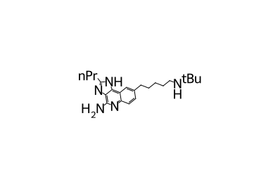 CCCc1nc2c(N)nc3ccc(CCCCCNC(C)(C)C)cc3c2[nH]1